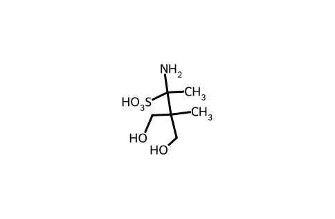 CC(CO)(CO)C(C)(N)S(=O)(=O)O